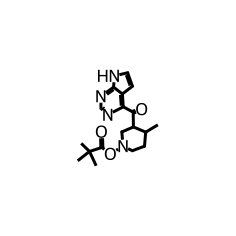 CC1CCN(OC(=O)C(C)(C)C)CC1C(=O)c1ncnc2[nH]ccc12